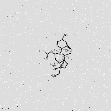 CC(=O)OC1C[C@@]2(C)[C@@H](CCC2(O)CN)[C@@H]2CC=C3CC(O)CC[C@]3(C)[C@H]12